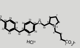 Cl.O=C(O)CCCN1CCCC1COc1ccc(Cc2ccc(Cl)cc2)cc1